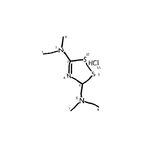 CN(C)C1=NC(N(C)C)SS1.Cl